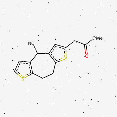 COC(=O)Cc1cc2c(s1)CCc1sccc1C2C#N